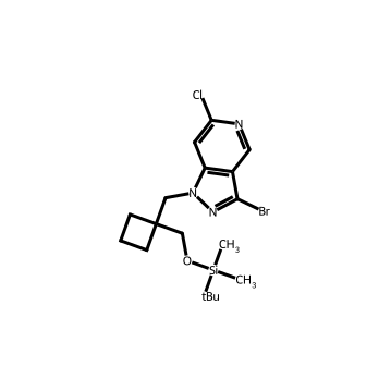 CC(C)(C)[Si](C)(C)OCC1(Cn2nc(Br)c3cnc(Cl)cc32)CCC1